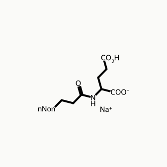 CCCCCCCCCCCC(=O)NC(CCC(=O)O)C(=O)[O-].[Na+]